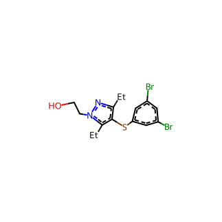 CCc1nn(CCO)c(CC)c1Sc1cc(Br)cc(Br)c1